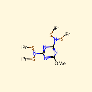 COc1nc(N(SC(C)C)SC(C)C)nc(N(SC(C)C)SC(C)C)n1